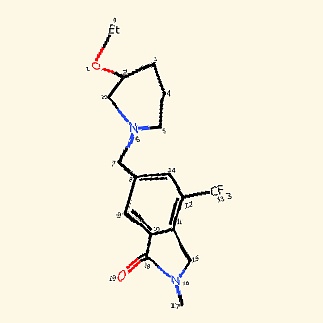 CCOC1CCCN(Cc2cc3c(c(C(F)(F)F)c2)CN(C)C3=O)C1